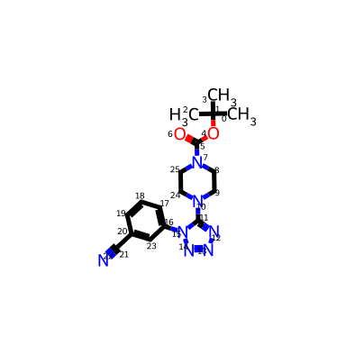 CC(C)(C)OC(=O)N1CCN(c2nnnn2-c2cccc(C#N)c2)CC1